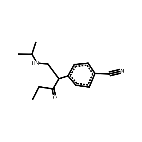 CCC(=O)C(CNC(C)C)c1ccc(C#N)cc1